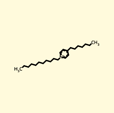 CCCCCCCCCCC[n+]1ccc(CCCCCCC)cc1